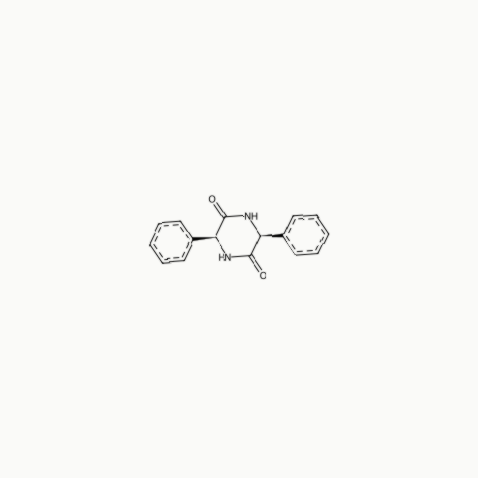 O=C1N[C@@H](c2ccccc2)C(=O)N[C@H]1c1ccccc1